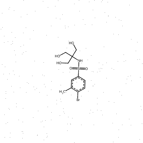 Cc1cc(S(=O)(=O)NC(CO)(CO)CO)ccc1Br